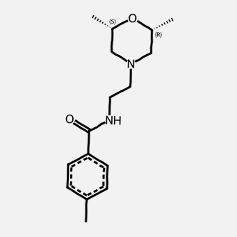 Cc1ccc(C(=O)NCCN2C[C@@H](C)O[C@@H](C)C2)cc1